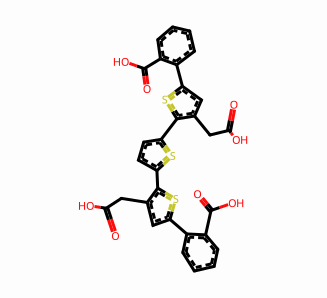 O=C(O)Cc1cc(-c2ccccc2C(=O)O)sc1-c1ccc(-c2sc(-c3ccccc3C(=O)O)cc2CC(=O)O)s1